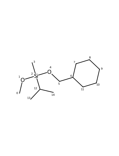 CO[Si](C)(OCC1CCCCC1)C(C)C